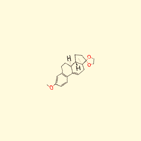 COc1ccc2c(c1)CC[C@@H]1C2=CC[C@@]2(C)[C@H]1CCC21OCCO1